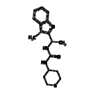 Cc1c(C(C)NC(=O)NC2CCSCC2)oc2ccccc12